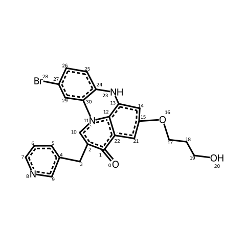 O=c1c(Cc2cccnc2)cn2c3c(cc(OCCCO)cc13)Nc1ccc(Br)cc1-2